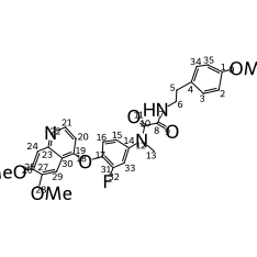 COc1ccc(CCNC(=O)C(=O)N(C)c2ccc(Oc3ccnc4cc(OC)c(OC)cc34)c(F)c2)cc1